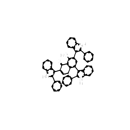 O=C1C=C(c2c(-c3ccccc3)[nH]c3ccccc23)C(=O)c2c(O)c(-c3c(-c4ccccc4)[nH]c4ccccc34)cc(-c3c(-c4ccccc4)[nH]c4ccccc34)c21